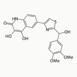 COc1ccc(C(O)c2nc(-c3ccc4[nH]c(=O)c(O)c(O)c4c3)cs2)cc1OC